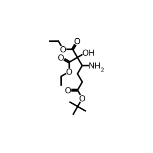 CCOC(=O)C(O)(C(=O)OCC)C(N)CCC(=O)OC(C)(C)C